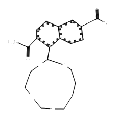 NC(=O)c1ccc2c(C3CCCCCCCCCCC3)c(C(N)=O)ccc2c1